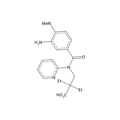 CCC(CC)(CN(C(=O)c1ccc(NC)c(N)c1)c1ccccn1)C(=O)O